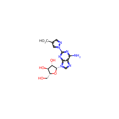 Nc1nc(-n2cc(C(=O)O)cn2)nc2c1ncn2[C@@H]1O[C@H](CO)[C@@H](O)[C@@H]1O